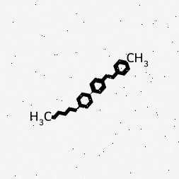 CCCCCC[C@H]1CC[C@H](c2ccc(CCc3ccc(C)cc3)cc2)CC1